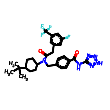 CC(C)(C)C1CCC(N(Cc2ccc(C(=O)Nc3nn[nH]n3)cc2)C(=O)Cc2cc(F)cc(C(F)(F)F)c2)CC1